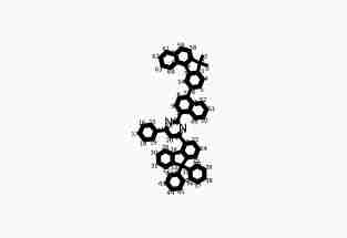 CC1(C)c2ccc(-c3ccc(-c4nc(-c5ccccc5)cc(-c5cccc6c5-c5ccccc5C6(c5ccccc5)c5ccccc5)n4)c4ccccc34)cc2-c2c1ccc1ccccc21